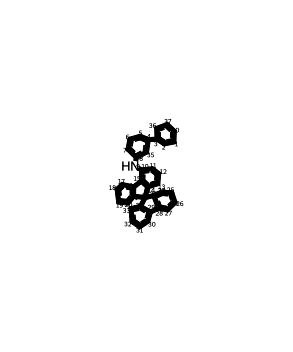 c1ccc(-c2cccc(Nc3cccc4c3-c3ccccc3C43c4ccccc4-c4ccccc43)c2)cc1